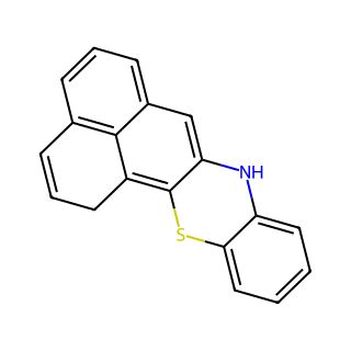 C1=Cc2cccc3cc4c(c(c23)C1)Sc1ccccc1N4